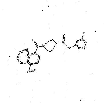 COc1ccc(C(=O)N2CCC(C(=O)Nc3cccc(F)c3)CC2)c2ccccc12